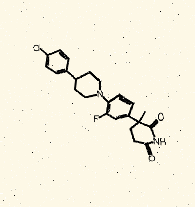 CC1(c2ccc(N3CCC(c4ccc(Cl)cc4)CC3)c(F)c2)CCC(=O)NC1=O